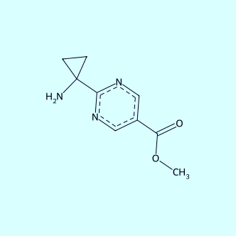 COC(=O)c1cnc(C2(N)CC2)nc1